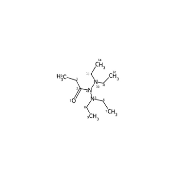 CCC(=O)N(N(CC)CC)N(CC)CC